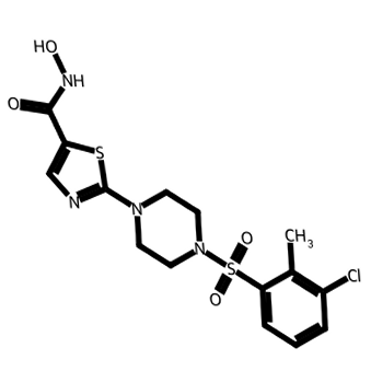 Cc1c(Cl)cccc1S(=O)(=O)N1CCN(c2ncc(C(=O)NO)s2)CC1